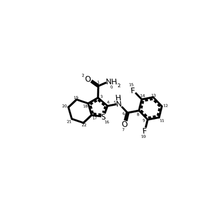 NC(=O)c1c(NC(=O)c2c(F)cccc2F)sc2c1CCCC2